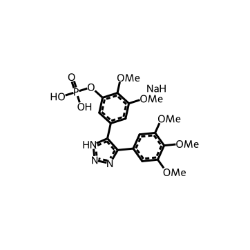 COc1cc(-c2nn[nH]c2-c2cc(OC)c(OC)c(OP(=O)(O)O)c2)cc(OC)c1OC.[NaH]